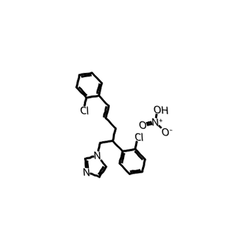 Clc1ccccc1C=CCC(Cn1ccnc1)c1ccccc1Cl.O=[N+]([O-])O